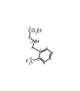 CCOC(=O)CNCc1ccccc1C(F)(F)F